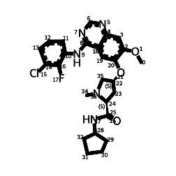 COc1cc2ncnc(Nc3cccc(Cl)c3F)c2cc1O[C@H]1C[C@@H](C(=O)NC2CCCC2)N(C)C1